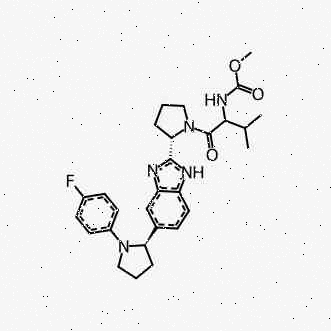 COC(=O)NC(C(=O)N1CCC[C@H]1c1nc2cc([C@H]3CCCN3c3ccc(F)cc3)ccc2[nH]1)C(C)C